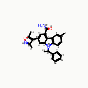 Cc1ccc2c(c1)c1c(C(N)=O)cc(-c3c(C)noc3C)cc1n2C(C)c1ccccc1